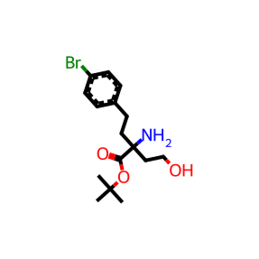 CC(C)(C)OC(=O)C(N)(CCO)CCc1ccc(Br)cc1